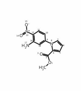 COC(=O)c1cccn1-c1ccc([N+](=O)[O-])c(N)c1